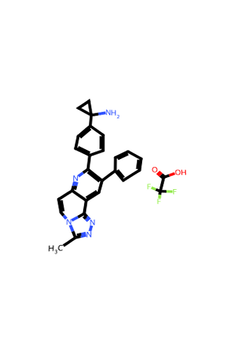 Cc1nnc2c3cc(-c4ccccc4)c(-c4ccc(C5(N)CC5)cc4)nc3ccn12.O=C(O)C(F)(F)F